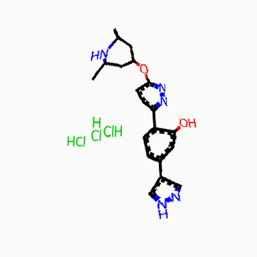 CC1CC(Oc2ccc(-c3ccc(-c4cn[nH]c4)cc3O)nn2)CC(C)N1.Cl.Cl.Cl